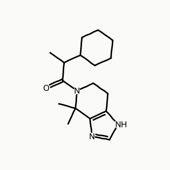 CC(C(=O)N1CCc2[nH]cnc2C1(C)C)C1CCCCC1